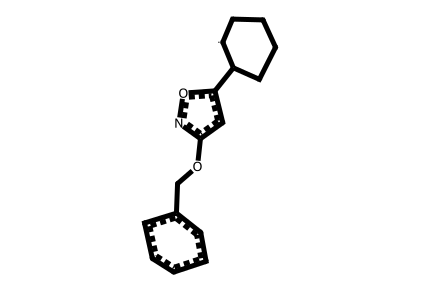 [CH]1CCCCC1c1cc(OCc2ccccc2)no1